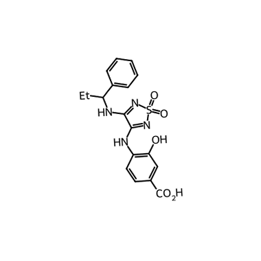 CCC(NC1=NS(=O)(=O)N=C1Nc1ccc(C(=O)O)cc1O)c1ccccc1